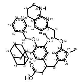 COc1cc(C(CC(=O)O)Cc2cc(OCCc3ccc4c(n3)NCCC4)n(C)n2)cc(C23CC4CC(CC(C4)C2)C3)c1OCc1ccccc1